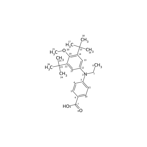 CCN(c1ccc(C(=O)O)cc1)c1cc(C(C)(C)C)c(OC)c(C(C)(C)C)c1